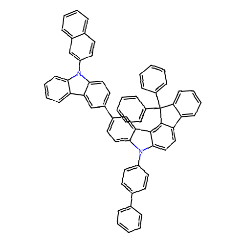 c1ccc(-c2ccc(-n3c4ccc(-c5ccc6c(c5)c5ccccc5n6-c5ccc6ccccc6c5)cc4c4c5c(ccc43)-c3ccccc3C5(c3ccccc3)c3ccccc3)cc2)cc1